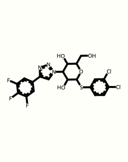 OCC1OC(Sc2ccc(Cl)c(Cl)c2)C(O)C(n2cc(-c3cc(F)c(F)c(F)c3)nn2)C1O